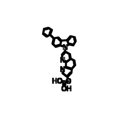 OB(O)Oc1cnc2c(ccc3cc(-n4c5ccccc5c5cc(-c6ccccc6)ccc54)cnc32)c1